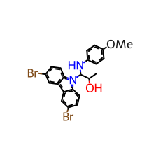 COc1ccc(NC(C(C)O)n2c3ccc(Br)cc3c3cc(Br)ccc32)cc1